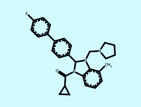 Cc1cccc2c1N(CN1CCCC1)C(c1ccc(-c3ccc(F)cc3)cc1)N2C(=O)C1CC1